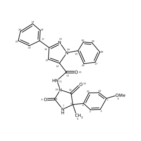 COc1ccc(C2(C)NC(=O)N(NC(=O)c3cc(-c4ccccc4)nn3-c3ccccc3)C2=O)cc1